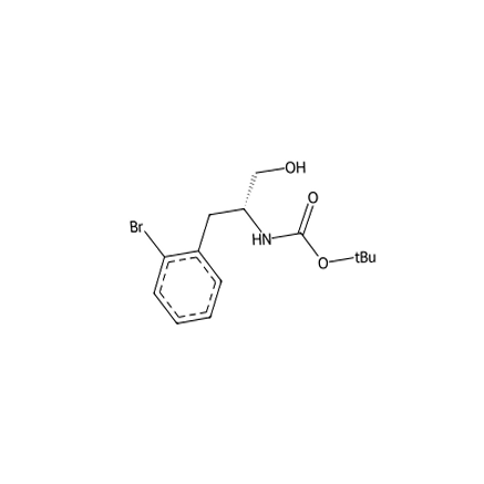 CC(C)(C)OC(=O)N[C@@H](CO)Cc1ccccc1Br